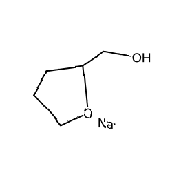 OCC1CCCO1.[Na]